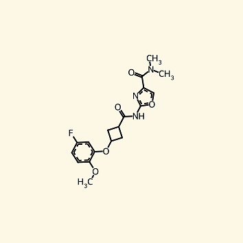 COc1ccc(F)cc1OC1CC(C(=O)Nc2nc(C(=O)N(C)C)co2)C1